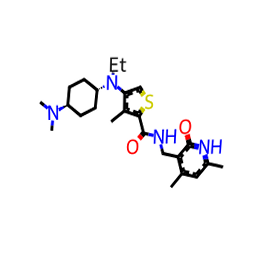 CCN(c1csc(C(=O)NCc2c(C)cc(C)[nH]c2=O)c1C)[C@H]1CC[C@H](N(C)C)CC1